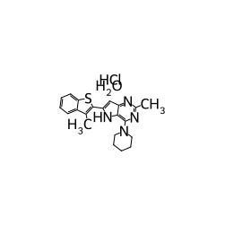 Cc1nc(N2CCCCC2)c2[nH]c(-c3sc4ccccc4c3C)cc2n1.Cl.O